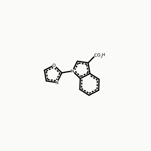 O=C(O)c1cn(-c2ncco2)c2ccccc12